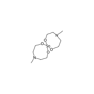 CN1CC[O][Sn]2([O]CC1)[O]CCN(C)CC[O]2